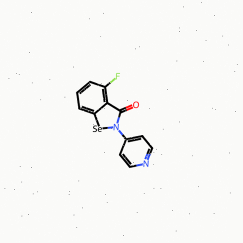 O=c1c2c(F)cccc2[se]n1-c1ccncc1